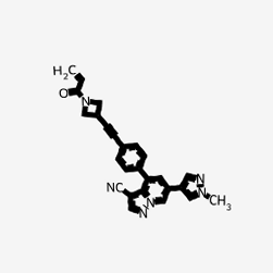 C=CC(=O)N1CC(C#Cc2ccc(-c3cc(-c4cnn(C)c4)cn4ncc(C#N)c34)cc2)C1